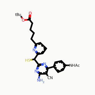 CC(=O)Nc1ccc(-c2nc(C(S)c3cccc(CCCCC(=O)OC(C)(C)C)n3)nc(N)c2C#N)cc1